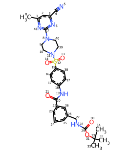 Cc1cc(C#N)nc(N2CCN(S(=O)(=O)c3ccc(NC(=O)c4cccc(CNC(=O)OC(C)(C)C)c4)cc3)CC2)n1